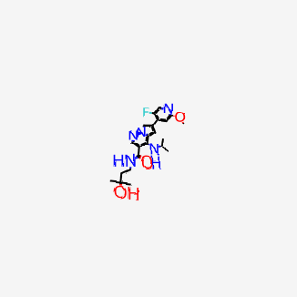 COc1cc(-c2cc3c(NC(C)C)c(C(=O)NCCC(C)(C)O)cnn3c2)c(F)cn1